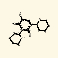 O=c1c(F)cn(C2CCCCO2)c(=O)n1C1CCCCO1